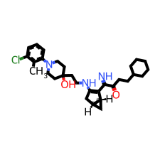 Cc1c(Cl)cccc1N1CCC(O)(CCNC2=C(C(=N)C(=O)CCC3CCCCC3)[C@@H]3C[C@@H]3C2)CC1